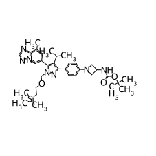 Cc1cc(-c2c(C(C)C)c(-c3ccc(N4CC(NC(=O)OC(C)(C)C)C4)cc3)nn2COCC[Si](C)(C)C)cn2ncnc12